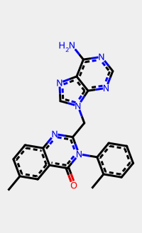 Cc1ccc2nc(Cn3cnc4c(N)ncnc43)n(-c3ccccc3C)c(=O)c2c1